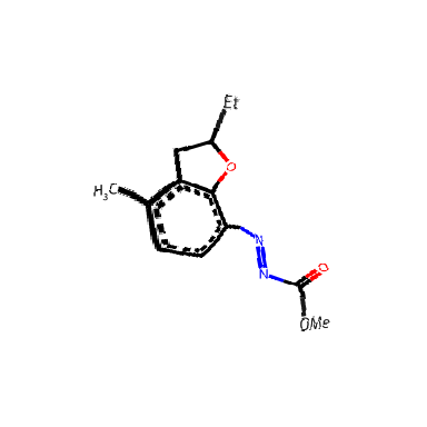 CCC1Cc2c(C)ccc(/N=N/C(=O)OC)c2O1